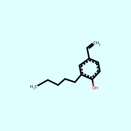 C=Cc1ccc(O)c(CCCCC)c1